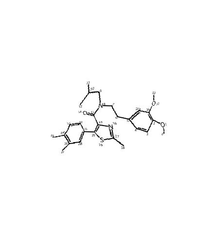 COc1ccc(CCN(CC(C)C)C(=O)c2nc(C)sc2-c2ccc(C)c(C)c2)cc1OC